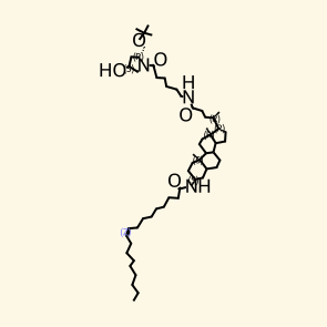 CCCCCCCC/C=C\CCCCCCCC(=O)N[C@H]1CC[C@@]2(C)C(CCC3C2CC[C@@]2(C)C3CC[C@@H]2[C@H](C)CCC(=O)NCCCCCC(=O)N2C[C@@H](O)C[C@@H]2COC(C)(C)C)C1